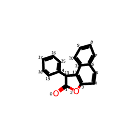 O=C1Oc2ccc3ccccc3c2C1c1ccccc1